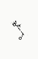 CN(CCCSCCNC[C@H](OC(=O)C(F)(F)F)c1ccc(O)c2[nH]c(=O)sc12)CCc1ccccc1